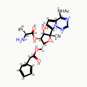 CC(=O)Nc1ncnn2c([C@]3(C#N)O[C@H](COC(=O)Cc4ccccc4)[C@@H](OC(=O)[C@@H](N)C(C)C)[C@H]3O)ccc12